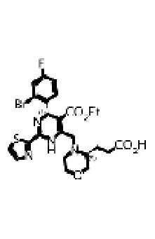 CCOC(=O)C1=C(CN2CCOC[C@@H]2CCC(=O)O)NC(c2nccs2)=N[C@@H]1c1ccc(F)cc1Br